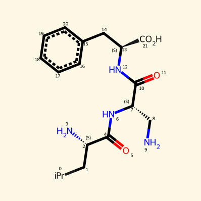 CC(C)C[C@H](N)C(=O)N[C@@H](CN)C(=O)N[C@@H](Cc1ccccc1)C(=O)O